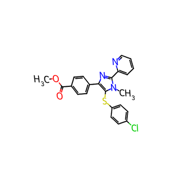 COC(=O)c1ccc(-c2nc(-c3ccccn3)n(C)c2Sc2ccc(Cl)cc2)cc1